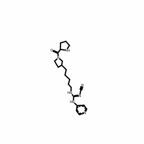 N#CN=C(NCCCCCC1CCN(C(=O)C2CCCN2)C1)Nc1ccncc1